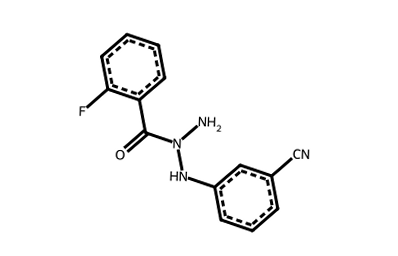 N#Cc1cccc(NN(N)C(=O)c2ccccc2F)c1